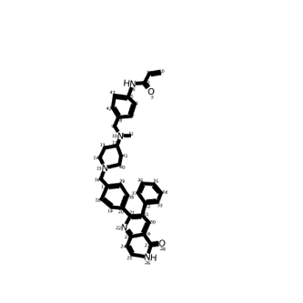 C=CC(=O)Nc1ccc(CN(C)C2CCN(Cc3ccc(-c4nc5cc[nH]c(=O)c5cc4-c4ccccc4)cc3)CC2)cc1